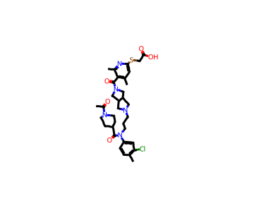 CC(=O)N1CCC(C(=O)N(CCCN2CC3CN(C(=O)c4c(C)cc(SCC(=O)O)nc4C)CC3C2)c2ccc(C)c(Cl)c2)CC1